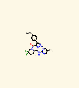 COc1ccc(-c2cn(C)nc2C(=O)N2CC(F)(F)C[C@@H](C)C2CNc2ncc(C(F)(F)F)cn2)cc1